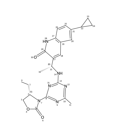 CC[C@H]1COC(=O)N1c1nc(C)nc(N[C@H](C)c2cc3cc(C4CC4)ccc3[nH]c2=O)n1